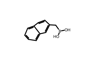 OB(O)Cc1ccc2ccccc2c1